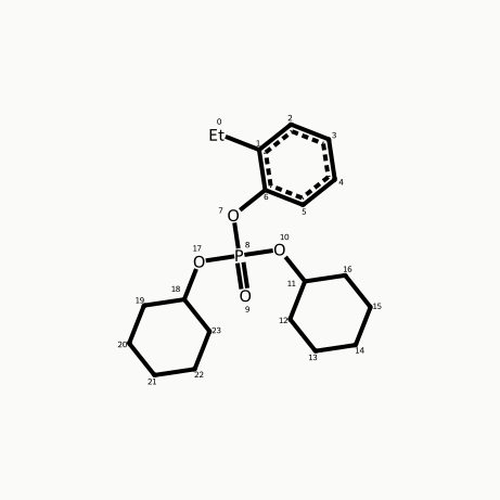 CCc1ccccc1OP(=O)(OC1CCCCC1)OC1CCCCC1